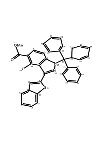 COC(=O)c1ccc2c(c(-c3cc4ccccc4s3)nn2C(c2ccccc2)(c2ccccc2)C2C=CC=CC2)c1F